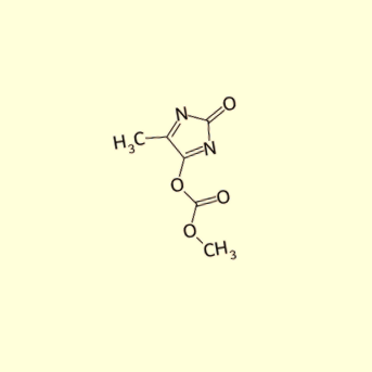 COC(=O)OC1=NC(=O)N=C1C